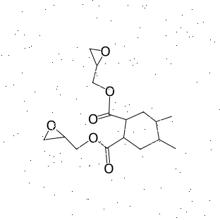 CC1CC(C(=O)OCC2CO2)C(C(=O)OCC2CO2)CC1C